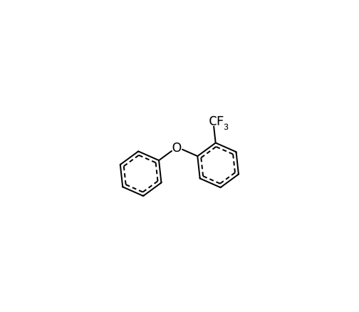 FC(F)(F)c1ccccc1Oc1ccccc1